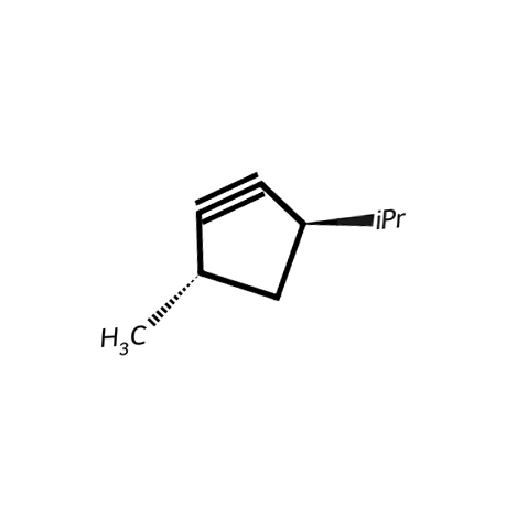 CC(C)[C@@H]1C#C[C@@H](C)C1